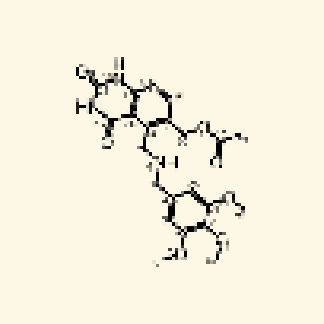 COc1cc(CNCc2c(COC(C)=O)cnc3[nH]c(=O)[nH]c(=O)c23)cc(OC)c1OC